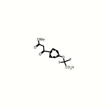 COC(=O)CC(=O)c1ccc(OC(F)(F)C(=O)O)cc1